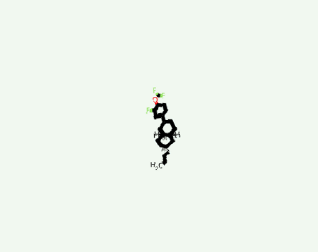 C=CCC[C@@H]1CC[C@@H]2CC(c3ccc(OC(F)F)c(F)c3)CC[C@@H]2C1